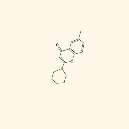 Cc1ccc2oc(N3CCCCC3)cc(=O)c2c1